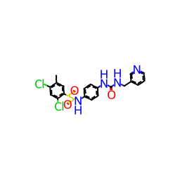 Cc1cc(S(=O)(=O)Nc2ccc(NC(=O)NCc3cccnc3)cc2)c(Cl)cc1Cl